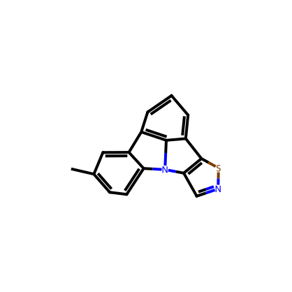 Cc1ccc2c(c1)c1cccc3c4sncc4n2c13